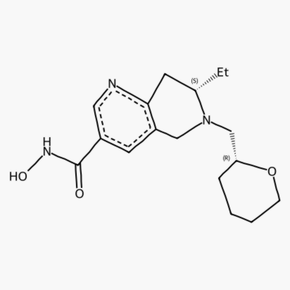 CC[C@H]1Cc2ncc(C(=O)NO)cc2CN1C[C@H]1CCCCO1